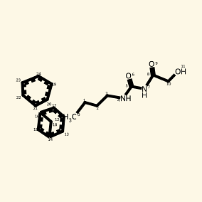 CCCCNC(=O)NC(=O)CO.c1cc2cc(c1)C2.c1ccccc1